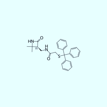 CC1(C)NC(=O)[C@H]1CNC(=O)CSC(c1ccccc1)(c1ccccc1)c1ccccc1